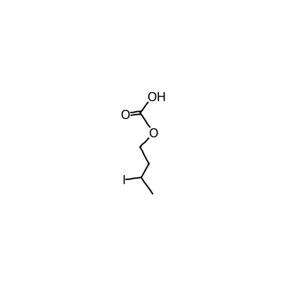 CC(I)CCOC(=O)O